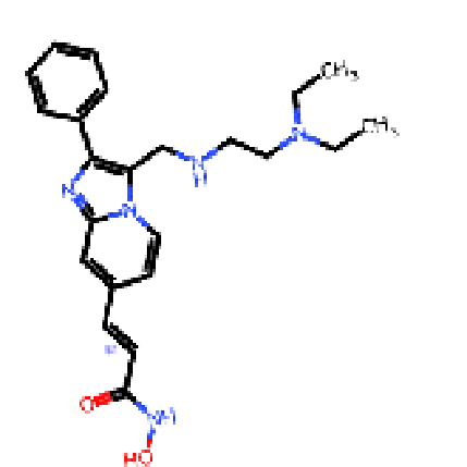 CCN(CC)CCNCc1c(-c2ccccc2)nc2cc(/C=C/C(=O)NO)ccn12